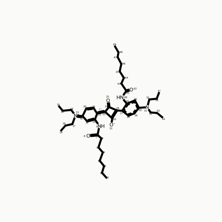 CCCCCCCC(=O)NC1=CC(=[N+](CCC)CCC)C=C/C1=C1\C(=O)C(c2ccc(N(CCC)CCC)cc2NC(=O)CCCCCCC)=C1[O-]